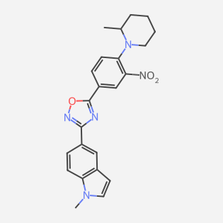 CC1CCCCN1c1ccc(-c2nc(-c3ccc4c(ccn4C)c3)no2)cc1[N+](=O)[O-]